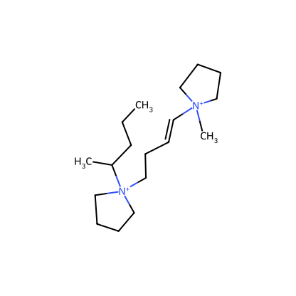 CCCC(C)[N+]1(CC/C=C/[N+]2(C)CCCC2)CCCC1